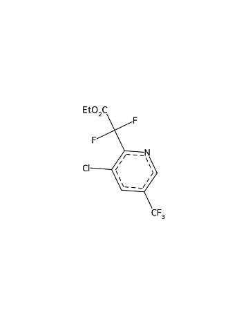 CCOC(=O)C(F)(F)c1ncc(C(F)(F)F)cc1Cl